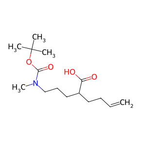 C=CCCC(CCCN(C)C(=O)OC(C)(C)C)C(=O)O